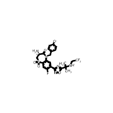 CC(C)(NCC(F)(F)F)c1nc(-c2cc3c(cc2F)S(=O)(=O)C[C@H](N)C(=O)N3Cc2ccc(Cl)cc2)no1